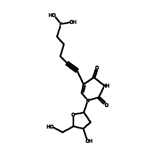 O=c1[nH]c(=O)n(C2CC(O)C(CO)O2)cc1C#CCCCP(O)O